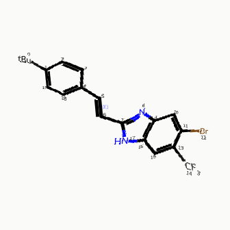 CC(C)(C)c1ccc(/C=C/c2nc3cc(Br)c(C(F)(F)F)cc3[nH]2)cc1